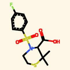 CC1(C)SCCN(S(=O)(=O)c2ccc(F)cc2)C1C(=O)O